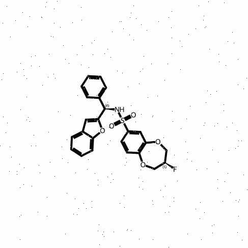 O=S(=O)(N[C@H](c1ccccc1)c1cc2ccccc2o1)c1ccc2c(c1)OC[C@@H](F)CO2